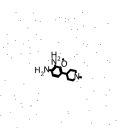 COc1c(C2CCN(C)CC2)ccc(N)c1N